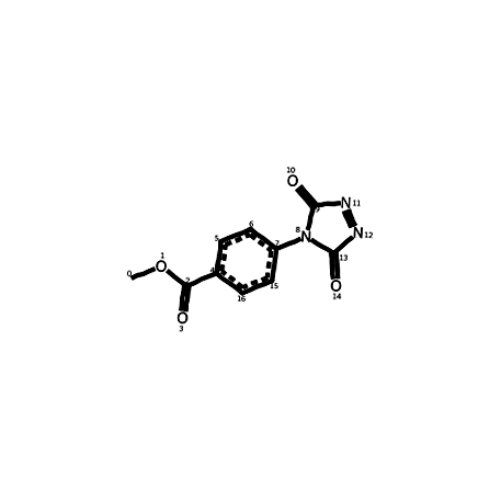 COC(=O)c1ccc(N2C(=O)N=NC2=O)cc1